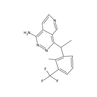 Cc1c(C(C)c2nnc(N)c3ccncc23)cccc1C(F)(F)F